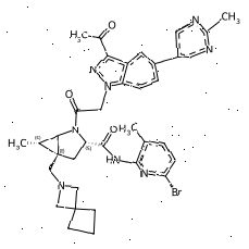 CC(=O)c1nn(CC(=O)N2C3[C@@H](C)[C@@]3(CN3CC4(CCC4)C3)C[C@H]2C(=O)Nc2nc(Br)ccc2C)c2ccc(-c3cnc(C)nc3)cc12